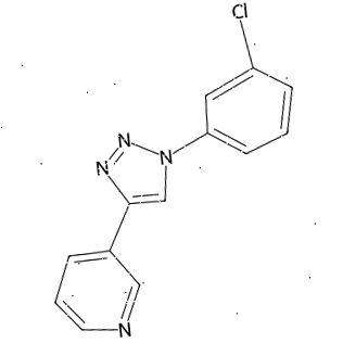 Clc1cccc(-n2cc(-c3cccnc3)nn2)c1